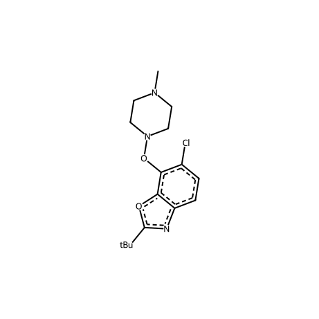 CN1CCN(Oc2c(Cl)ccc3nc(C(C)(C)C)oc23)CC1